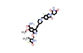 CC[C@@H]1[C@H](F)C(=O)N[C@@H]1COc1ncc(C#CC2CCN(Cc3ccc4c(c3F)CN(C3CCC(=O)NC3=O)C4=O)CC2)c2cc(C(N)=O)c(OC)cc12